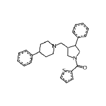 O=C(c1cccs1)N1CC(CN2CCC(c3ccccc3)CC2)C(c2ccccc2)C1